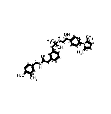 Cc1ccc(CNC(=O)Cc2cccc(CC(C)(C)NC[C@H](O)c3ccc(-n4c(C)ccc4C)nc3)c2)cc1C